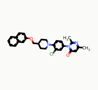 Cc1cc(=O)n(-c2ccc(N3CCC(COc4ccc5ccccc5c4)CC3)c(Cl)c2)c(C)n1